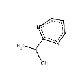 CC(O)c1n[c]ccn1